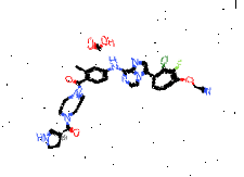 Cc1cc(Nc2nccn3c(-c4ccc(OCC#N)c(F)c4Cl)cnc23)ccc1C(=O)N1CCN(C(=O)[C@H]2CCNC2)CC1.O=CO